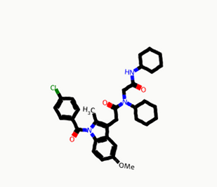 COc1ccc2c(c1)c(CC(=O)N(CC(=O)NC1CCCCC1)C1CCCCC1)c(C)n2C(=O)c1ccc(Cl)cc1